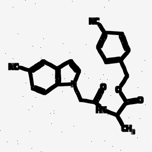 CC(NC(=O)Cn1ccc2cc(C#N)ccc21)C(=O)OCc1ccc(C#N)cc1